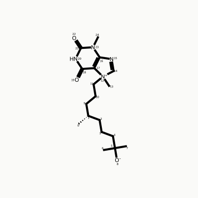 C[C@@H](CCCC(C)(C)[O-])CCC[N+]1(C)C=Nc2c1c(=O)[nH]c(=O)n2C